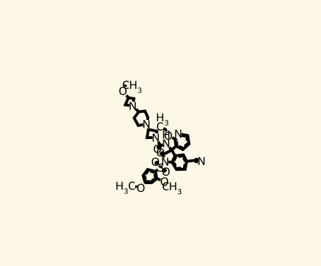 CCOc1ncccc1C1(NC(=O)N2CC(N3CCC(N4CC(OC)C4)CC3)C2)C(=O)N(S(=O)(=O)c2ccc(OC)cc2OC)c2ccc(C#N)cc21